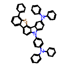 c1ccc(-c2cccc3c2sc2c3ccc3c2c2cc(N(c4ccccc4)c4ccccc4)ccc2n3-c2ccc(N(c3ccccc3)c3ccccc3)cc2)cc1